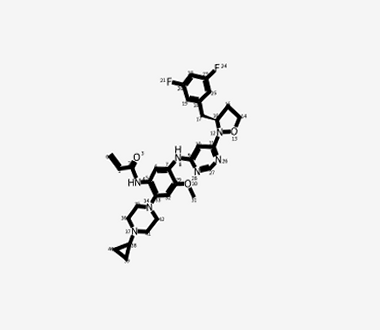 C=CC(=O)Nc1cc(Nc2cc(N3OCC[C@@H]3Cc3cc(F)cc(F)c3)ncn2)c(OC)cc1N1CCN(C2CC2)CC1